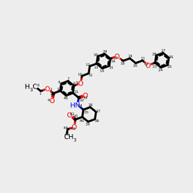 CCOC(=O)c1ccc(OCCCc2ccc(OCCCCOc3ccccc3)cc2)c(C(=O)NC2CCCCC2C(=O)OCC)c1